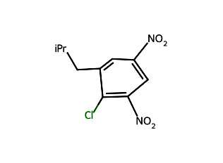 CC(C)Cc1cc([N+](=O)[O-])cc([N+](=O)[O-])c1Cl